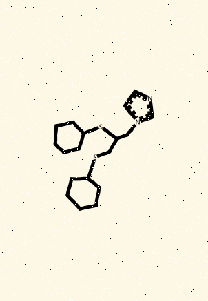 c1cn(CC(CSC2CCCCC2)SC2CCCCC2)cn1